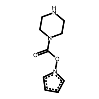 O=C(On1cccc1)N1CCNCC1